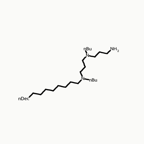 CCCCCCCCCCCCCCCCCCN(CCCC)CCCN(CCCC)CCCN